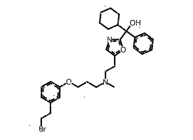 CN(CCCOc1cccc(CCBr)c1)CCc1cnc(C(O)(c2ccccc2)C2CCCCC2)o1